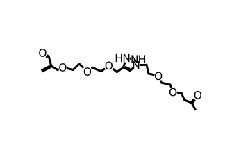 C=C(C=O)COCCOCCOCC1=CN(CCOCCOCCC(C)=O)NN1